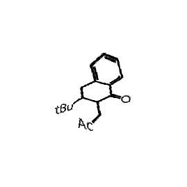 CC(=O)CC1C(=O)c2ccccc2CC1C(C)(C)C